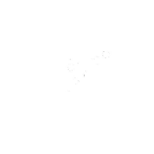 Bc1cc(C[C@@H](OC(=O)N2CCC(N3CCc4ccccc4NC3=O)CC2)C(=O)N2CCN(C3CCC(CC(=O)OCC)CC3)CC2)cc(Br)c1O